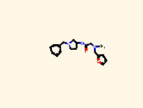 CN(CC(=O)NC1CCN(Cc2ccccc2)C1)Cc1ccco1